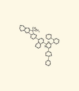 CC1(C)c2cc(-c3ccc(-c4nc(-c5ccc(-c6ccccc6)cc5)cc(-c5ccccc5-c5ccccc5)n4)c4ccccc34)ccc2-c2cc3ccccc3cc21